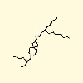 CCCCCCCC(CCCCC)CCOC1CC2(CCN(CC(CC)CCCC)CC2)C1